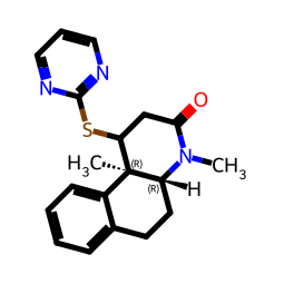 CN1C(=O)CC(Sc2ncccn2)[C@]2(C)c3ccccc3CC[C@@H]12